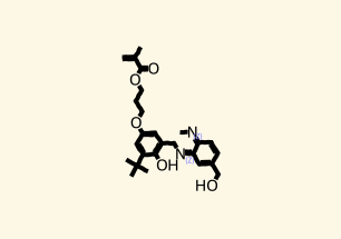 C=C(C)C(=O)OCCCOc1cc(C/N=C2/C=C(CO)C=C/C2=N/C)c(O)c(C(C)(C)C)c1